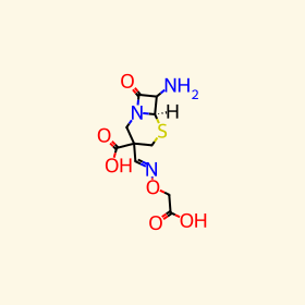 NC1C(=O)N2CC(C=NOCC(=O)O)(C(=O)O)CS[C@H]12